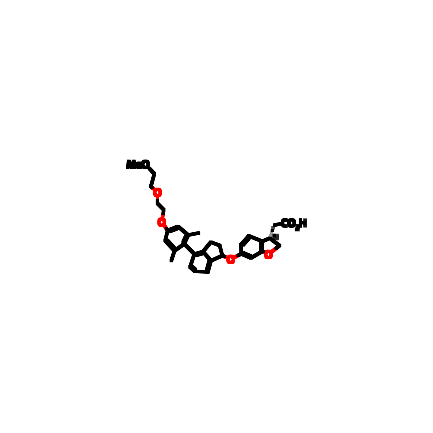 COCCOCCOc1cc(C)c(-c2cccc3c2CCC3Oc2ccc3c(c2)OC[C@H]3CC(=O)O)c(C)c1